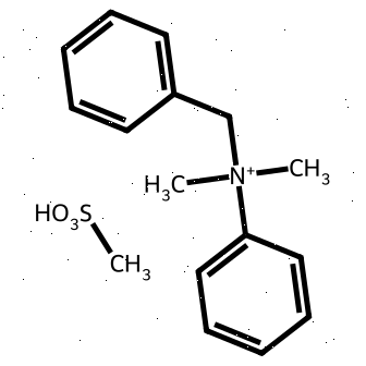 CS(=O)(=O)O.C[N+](C)(Cc1ccccc1)c1ccccc1